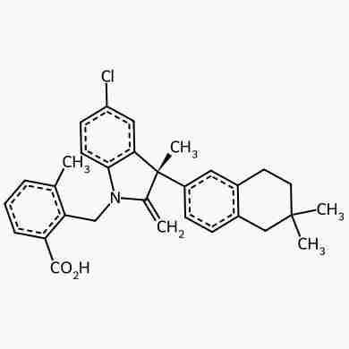 C=C1N(Cc2c(C)cccc2C(=O)O)c2ccc(Cl)cc2[C@]1(C)c1ccc2c(c1)CCC(C)(C)C2